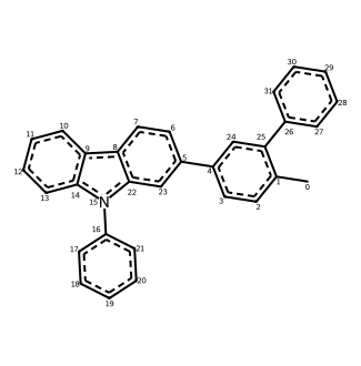 Cc1ccc(-c2ccc3c4ccccc4n(-c4ccccc4)c3c2)cc1-c1ccccc1